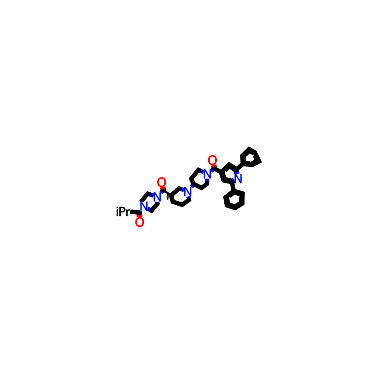 CC(C)C(=O)N1CCN(C(=O)[C@@H]2CCCN(C3CCN(C(=O)c4cc(-c5ccccc5)nc(-c5ccccc5)c4)CC3)C2)CC1